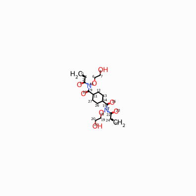 C=CC(=O)N(OCCO)C(=O)C1CCC(C(=O)N(OCCO)C(=O)C=C)CC1